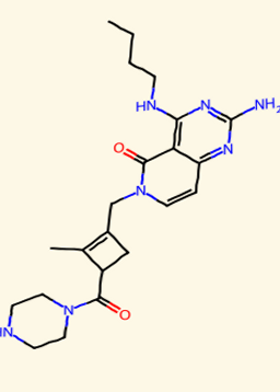 CCCCNc1nc(N)nc2ccn(CC3=C(C)C(C(=O)N4CCNCC4)C3)c(=O)c12